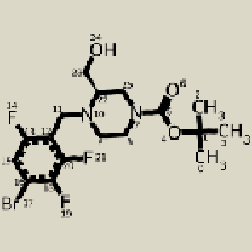 CC(C)(C)OC(=O)N1CCN(Cc2c(F)cc(Br)c(F)c2F)[C@@H](CO)C1